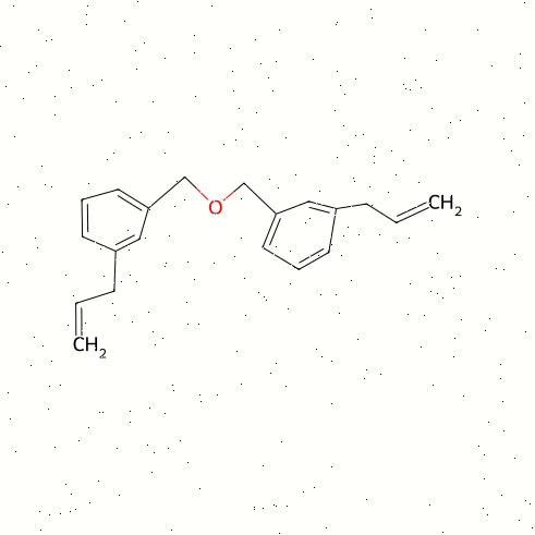 C=CCc1cccc(COCc2cccc(CC=C)c2)c1